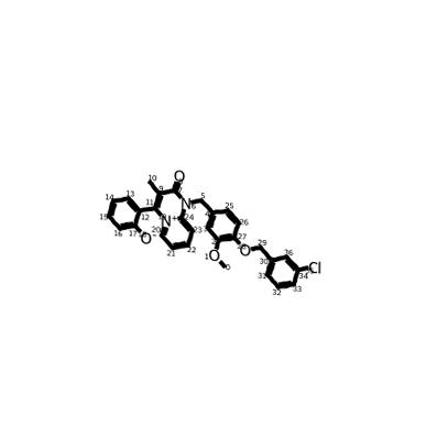 COc1cc(Cn2c(=O)c(C)c(-c3ccccc3[O-])[n+]3ccccc23)ccc1OCc1cccc(Cl)c1